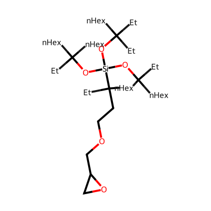 CCCCCCC(CC)(CC)O[Si](OC(CC)(CCCCCC)CCCCCC)(OC(CC)(CCCCCC)CCCCCC)C(C)(CC)CCOCC1CO1